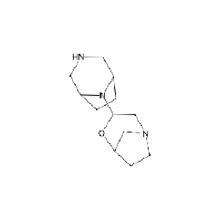 C1CN2CC1OC(N1C3CCC1CNC3)C2